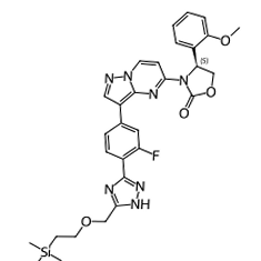 COc1ccccc1[C@H]1COC(=O)N1c1ccn2ncc(-c3ccc(-c4n[nH]c(COCC[Si](C)(C)C)n4)c(F)c3)c2n1